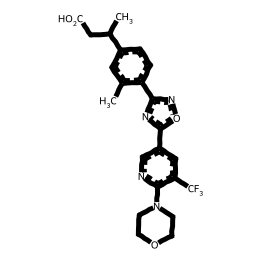 Cc1cc(C(C)CC(=O)O)ccc1-c1noc(-c2cnc(N3CCOCC3)c(C(F)(F)F)c2)n1